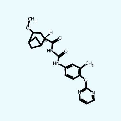 COC1C[C@H](C(=O)NC(=O)Nc2ccc(Oc3ncccn3)c(C)c2)C2CC1C2